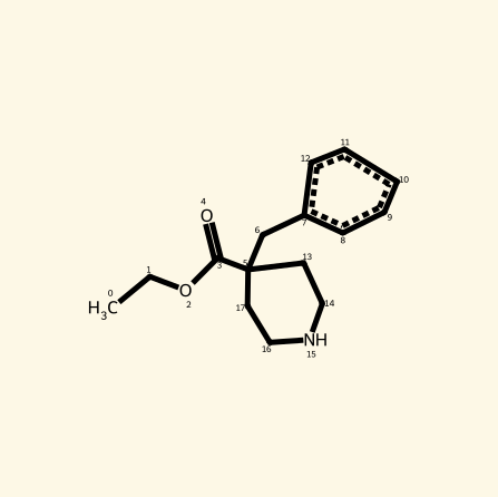 CCOC(=O)C1(Cc2ccccc2)CCNCC1